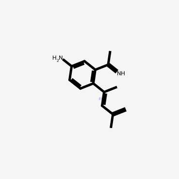 C=C(C)/C=C(\C)c1ccc(N)cc1C(C)=N